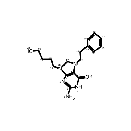 Nc1nc2c(c(=O)[nH]1)N(CCc1ccccc1)CN2CCCCO